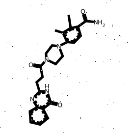 Cc1c(C(N)=O)ccc(N2CCN(C(=O)CCc3nc4ccccc4c(=O)[nH]3)CC2)c1C